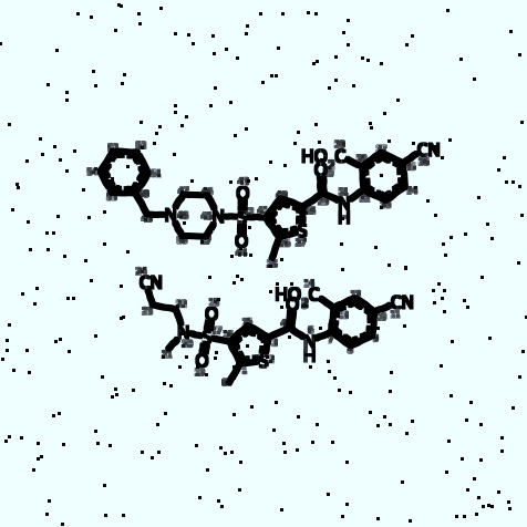 Cc1sc(C(=O)Nc2ccc(C#N)cc2C(=O)O)cc1S(=O)(=O)N(C)CCC#N.Cc1sc(C(=O)Nc2ccc(C#N)cc2C(=O)O)cc1S(=O)(=O)N1CCN(Cc2ccccc2)CC1